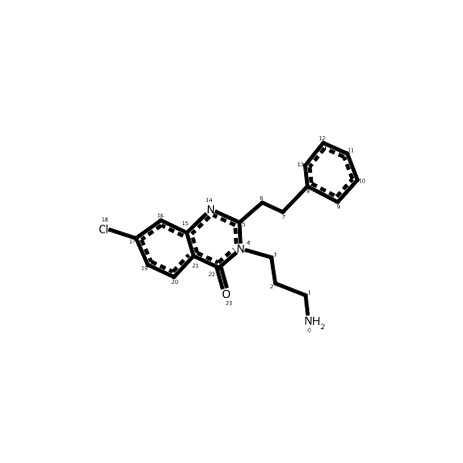 NCCCn1c(CCc2ccccc2)nc2cc(Cl)ccc2c1=O